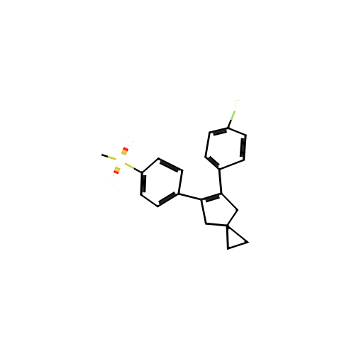 CS(=O)(=O)c1ccc(C2=C(c3ccc(F)cc3)CC3(CC3)C2)cc1